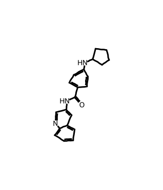 O=C(Nc1cnc2ccccc2c1)c1ccc(NC2CCCC2)cc1